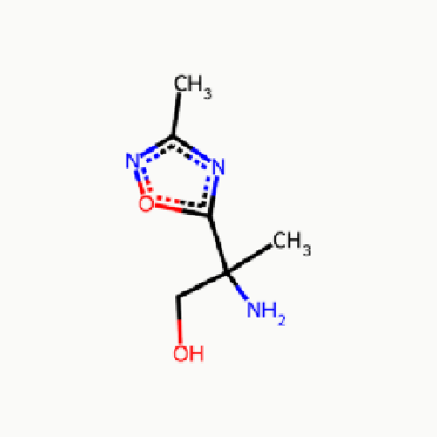 Cc1noc(C(C)(N)CO)n1